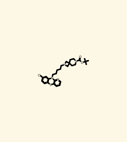 CC(C)(C)OC(=O)N1CCC2(CC1)CN(CCCCCN1c3cc(Cl)ccc3Sc3cccnc31)C2